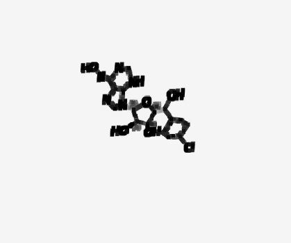 ON=c1nc[nH]c2c1ncn2[C@@H]1O[C@H](C(O)c2ccc(Cl)cc2)[C@@H](O)[C@H]1O